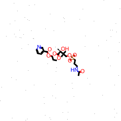 CCC(OC(=O)c1cccnc1)OC(=O)[C@](C)(O)C(C)(C)COS(=O)(=O)CCCNC(C)=O